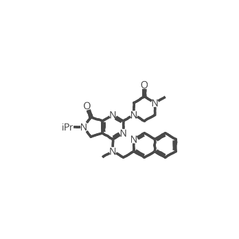 CC(C)N1Cc2c(nc(N3CCN(C)C(=O)C3)nc2N(C)Cc2cc3ccccc3cn2)C1=O